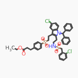 CCOC(=O)CCc1ccc(S(=O)(=O)CCc2c(CCNS(=O)(=O)Cc3ccccc3Cl)n(C(c3ccccc3)c3ccccc3)c3ccc(Cl)cc23)cc1